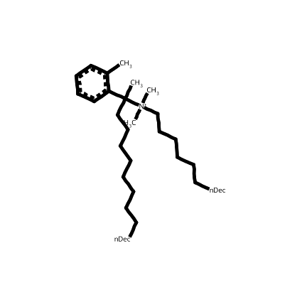 CCCCCCCCCCCCCCCCCCC(C)(c1ccccc1C)[N+](C)(C)CCCCCCCCCCCCCCCC